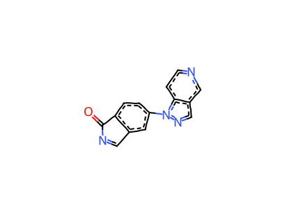 O=C1N=Cc2cc(-n3ncc4cnccc43)ccc21